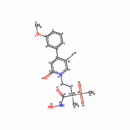 COc1cccc(-c2cc(=O)n(CC[C@](C)(C(=O)NO)S(C)(=O)=O)cc2F)c1